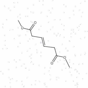 COC(=O)C/C=C/CC(=O)OC